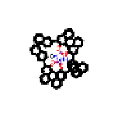 CN(p1oc2c(-c3ccc4ccccc4c3)cc3ccccc3c2c2c(o1)c(-c1ccc3ccccc3c1)cc1ccccc12)P1(=N)Oc2c(-c3ccc4ccccc4c3)cc3ccccc3c2-c2c(c(-c3ccc4ccccc4c3)cc3ccccc23)O1